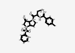 Cc1ccc(C(=O)NC(CC(C)C)C(=O)N2CCC3C2C(=O)CN3S(=O)(=O)c2ccccn2)cc1